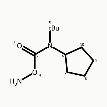 CC(C)(C)N(C(=O)ON)C1CCCC1